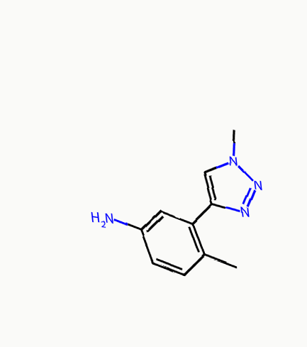 Cc1ccc(N)cc1-c1cn(C)nn1